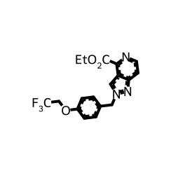 CCOC(=O)c1nccc2nn(Cc3ccc(OCC(F)(F)F)cc3)cc12